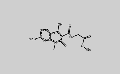 COc1ncc2c(O)c(C(=O)NCC(=O)OC(C)(C)C)c(=O)n(C)c2n1